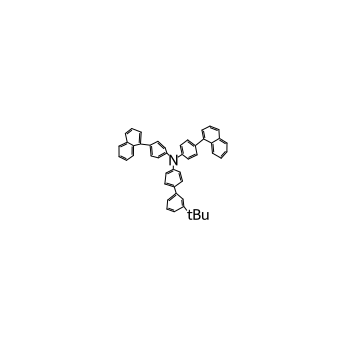 CC(C)(C)c1cccc(-c2ccc(N(c3ccc(-c4cccc5ccccc45)cc3)c3ccc(-c4cccc5ccccc45)cc3)cc2)c1